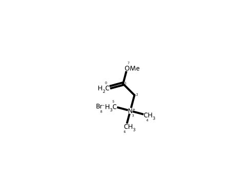 C=C(C[N+](C)(C)C)OC.[Br-]